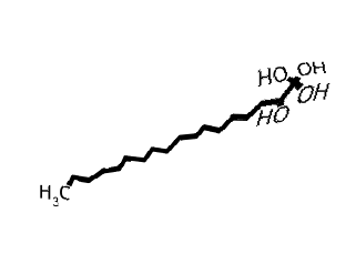 CCCCCCCCCCCCCCCCC(O)C(O)(O)O